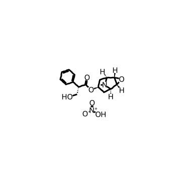 CN1[C@@H]2C[C@@H](OC(=O)[C@H](CO)c3ccccc3)C[C@H]1[C@@H]1O[C@@H]12.O=[N+]([O-])O